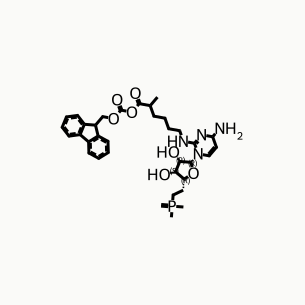 C=P(C)(C)CC[C@H]1O[C@@H](N2C=CC(N)N=C2NCCCCC(C)C(=O)OC(=O)OCC2c3ccccc3-c3ccccc32)[C@H](O)[C@@H]1O